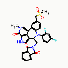 Cn1cc2c3c(c[nH]c3c1=O)C(CN1C(=O)c3ccccc3C1=O)N(c1ccc(F)cc1F)c1ccc(CS(C)(=O)=O)cc1-2